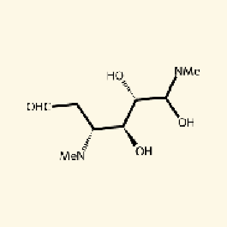 CNC(O)[C@@H](O)[C@@H](O)[C@@H](CC=O)NC